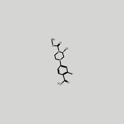 CC[C@H]1CN(c2ccc(C(N)=O)c(F)c2)CCN1C(=O)OC(C)(C)C